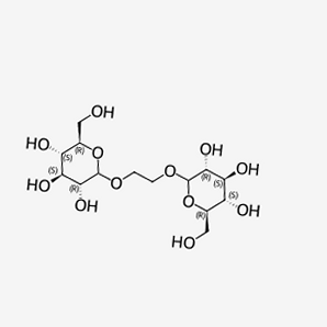 OC[C@H]1OC(OCCOC2O[C@H](CO)[C@@H](O)[C@H](O)[C@H]2O)[C@H](O)[C@@H](O)[C@@H]1O